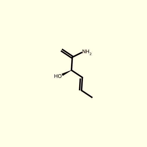 C=C(N)[C@H](O)/C=C/C